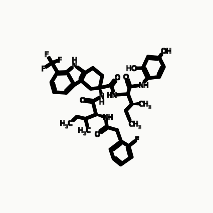 CCC(C)[C@H](NC(=O)Cc1ccccc1F)C(=O)N[C@]1(C(=O)NC(C(=O)Nc2ccc(O)cc2O)[C@@H](C)CC)CCc2[nH]c3c(C(F)(F)F)cccc3c2C1